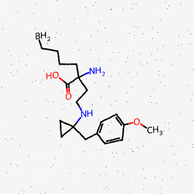 BCCCCC(N)(CCNC1(Cc2ccc(OC)cc2)CC1)C(=O)O